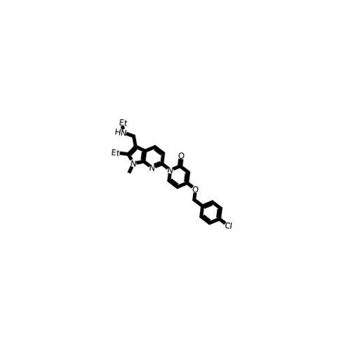 CCNCc1c(CC)n(C)c2nc(-n3ccc(OCc4ccc(Cl)cc4)cc3=O)ccc12